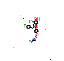 Oc1ccc2c(c1Cl)C=C(Cc1ccc(F)cc1)C(c1ccc(OCCN3CC(CF)C3)cc1)O2